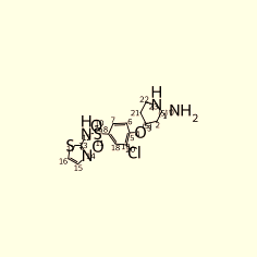 N[C@@H]1C[C@@H](Oc2ccc(S(=O)(=O)Nc3nccs3)cc2Cl)CCN1